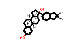 CC(=O)C1(C(C)=O)Cc2ccc([C@@]3(O)CC[C@H]4[C@@H]5CCc6cc(O)ccc6[C@H]5CC[C@@]43C)cc2C1